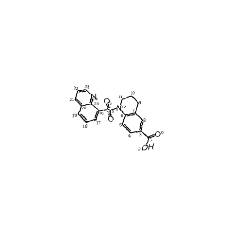 O=C(O)c1ccc2c(c1)CCCN2S(=O)(=O)c1cccc2cccnc12